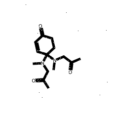 CC(=O)CN(C)C1(N(C)CC(C)=O)C=CC(=O)CC1